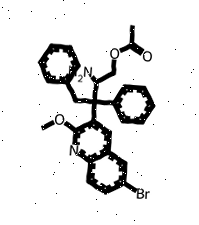 COc1nc2ccc(Br)cc2cc1C(Cc1ccccc1)(c1ccccc1)C(N)COC(C)=O